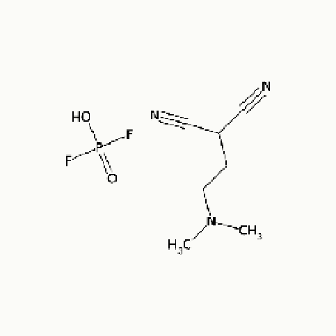 CN(C)CCC(C#N)C#N.O=P(O)(F)F